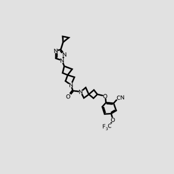 N#Cc1cc(OC(F)(F)F)ccc1OC1CC2(C1)CN(C(=O)N1CC3(CC(n4cnc(C5CC5)n4)C3)C1)C2